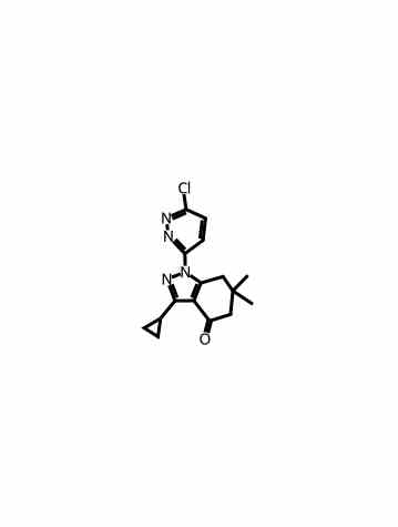 CC1(C)CC(=O)c2c(C3CC3)nn(-c3ccc(Cl)nn3)c2C1